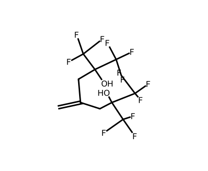 C=C(CC(O)(C(F)(F)F)C(F)(F)F)CC(O)(C(F)(F)F)C(F)(F)F